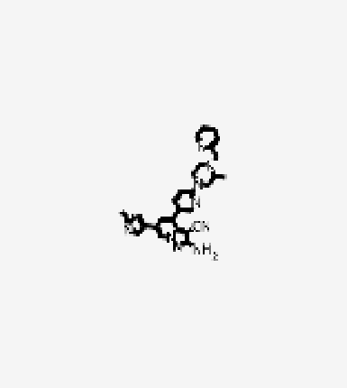 CC1CN(c2ccc(-c3cc(-c4cnn(C)c4)cn4nc(N)c(C#N)c34)cn2)CCN1Cc1ccccn1